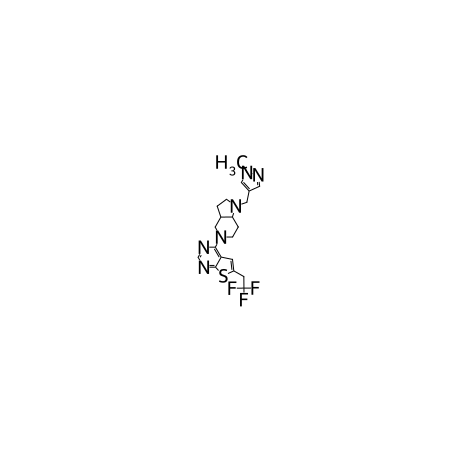 Cn1cc(CN2CCC3CN(c4ncnc5sc(CC(F)(F)F)cc45)CCC32)cn1